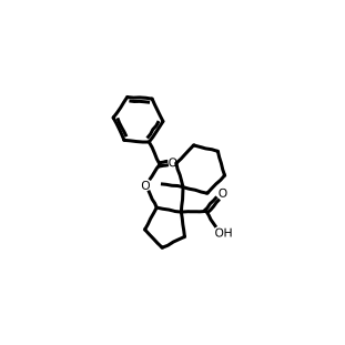 CC1(C2(C(=O)O)CCCC2OC(=O)c2ccccc2)CCCCC1